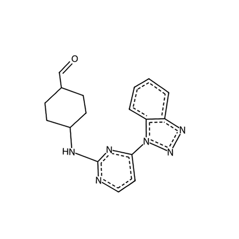 O=CC1CCC(Nc2nccc(-n3nnc4ccccc43)n2)CC1